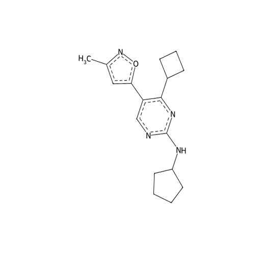 Cc1cc(-c2cnc(NC3CCCC3)nc2C2CCC2)on1